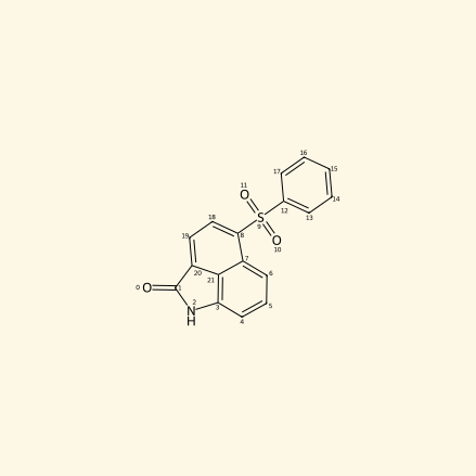 O=C1Nc2cccc3c(S(=O)(=O)c4ccccc4)ccc1c23